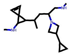 CNCC(CC(C)C1C(NC)C12C=C2)N1CC(C2CC2)C1